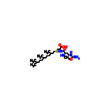 CNC(CCNC(N)=O)C(=O)NC(CSC/C=C(\C)CC/C=C(\C)CCC=C(C)C)C(=O)O